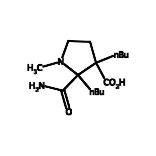 CCCCC1(C(=O)O)CCN(C)C1(CCCC)C(N)=O